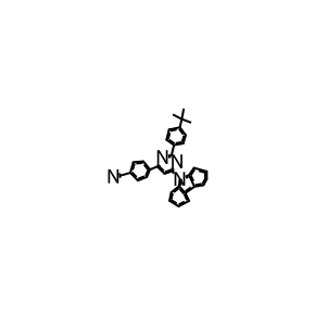 CC(C)(C)c1ccc(-c2nc(-c3ccc(C#N)cc3)cc(-n3c4ccccc4c4ccccc43)n2)cc1